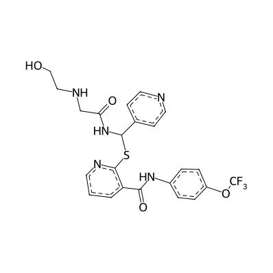 O=C(CNCCO)NC(Sc1ncccc1C(=O)Nc1ccc(OC(F)(F)F)cc1)c1ccncc1